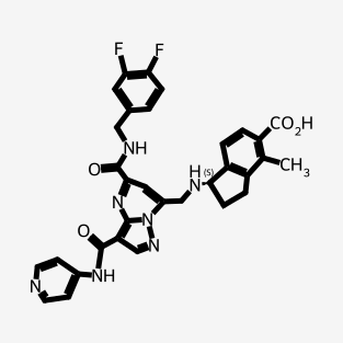 Cc1c(C(=O)O)ccc2c1CC[C@@H]2NCc1cc(C(=O)NCc2ccc(F)c(F)c2)nc2c(C(=O)Nc3ccncc3)cnn12